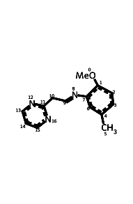 COc1ccc(C)cc1N=CCc1ncccn1